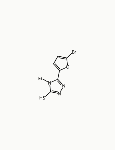 CCn1c(S)nnc1-c1ccc(Br)o1